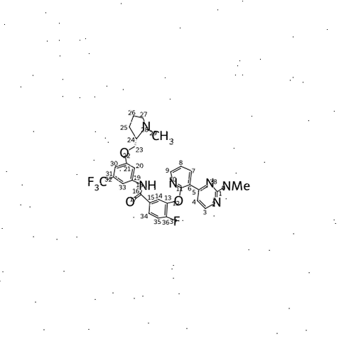 CNc1nccc(-c2cccnc2Oc2cc(C(=O)Nc3cc(OC[C@@H]4CCCN4C)cc(C(F)(F)F)c3)ccc2F)n1